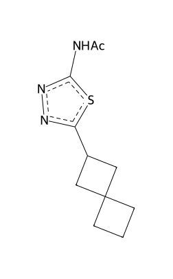 CC(=O)Nc1nnc(C2CC3(CCC3)C2)s1